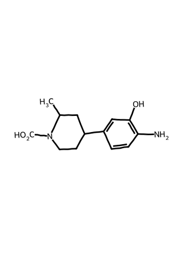 CC1CC(c2ccc(N)c(O)c2)CCN1C(=O)O